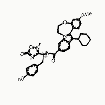 COc1ccc2c(c1)OCCn1c-2c(C2CCCCC2)c2ccc(C(=O)N[C@@H](Cc3ccc(O)cc3)c3nc(=O)on3C)cc21